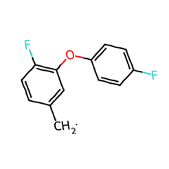 [CH2]c1ccc(F)c(Oc2ccc(F)cc2)c1